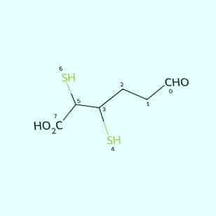 O=CCCC(S)C(S)C(=O)O